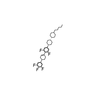 CCCCCC1CCC([C@H]2CC[C@H](c3cc(F)c(C4=CCC(c5cc(F)c(F)c(F)c5)CC4)c(F)c3)CC2)CC1